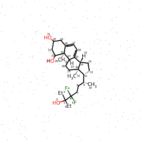 CCC(O)(CC)C(F)(F)CC[C@@H](C)[C@H]1CC[C@H]2C3=CC=C4CC(O)CC(O)[C@]4(C)[C@H]3CC[C@]12C